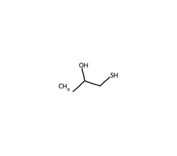 C.CC(O)CS